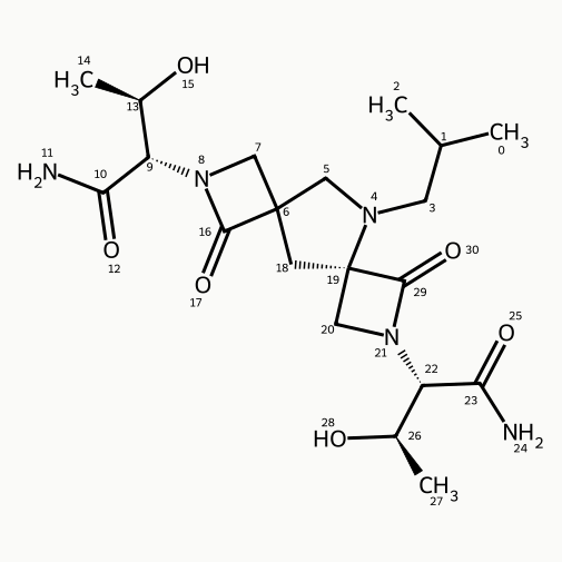 CC(C)CN1CC2(CN([C@H](C(N)=O)[C@@H](C)O)C2=O)C[C@]12CN([C@H](C(N)=O)[C@@H](C)O)C2=O